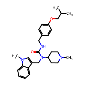 CC(C)COc1ccc(CNC(=O)N(Cc2cn(C)c3ccccc23)C2CCN(C)CC2)cc1